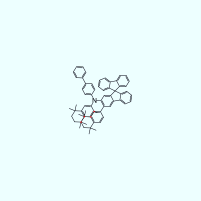 Cc1cc2c(cc1N(c1ccc(-c3ccccc3)cc1)c1cc3c(cc1-c1ccc4c(c1)C(C)(C)CCC4(C)C)-c1ccccc1C31c3ccccc3-c3ccccc31)C(C)(C)CCC2(C)C